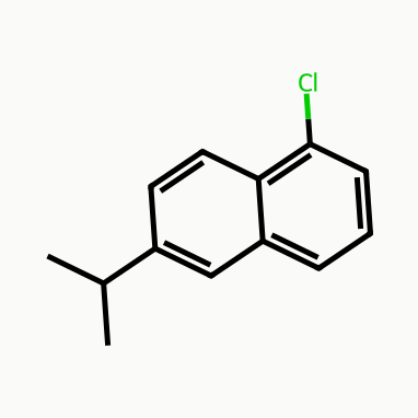 CC(C)c1ccc2c(Cl)cccc2c1